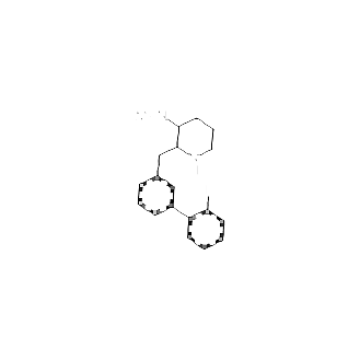 CNC1CCCNC1Cc1cccc(-c2ccccc2F)c1